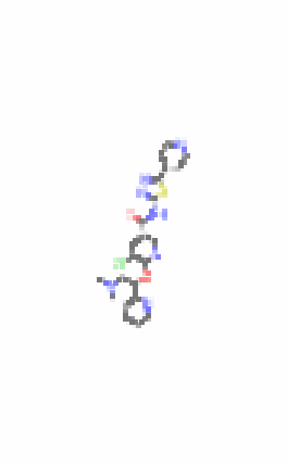 CN(C)CC(Oc1ncc(C(=O)Nc2nnc(-c3ccncc3)s2)cc1Cl)c1ccccn1